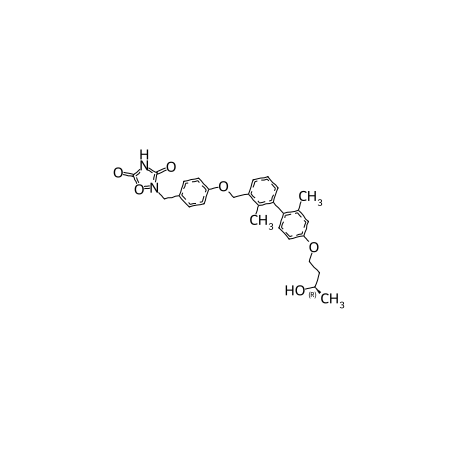 Cc1cc(OCC[C@@H](C)O)ccc1-c1cccc(COc2ccc(Cn3oc(=O)[nH]c3=O)cc2)c1C